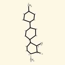 CC1CCC(C2CCC(C3CC[C@@H](C)C(F)C3Cl)CC2)CC1